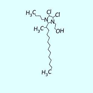 CCCCCCCCCCCCC(C)C1N(CCO)C(Cl)C(Cl)N1CCCC